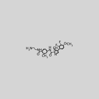 COc1ccc(-c2cnc(C(=O)Nc3ccc(C(=O)NCCN)c(C)c3)n2C)c(F)c1F